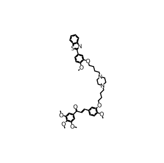 COc1ccc(/C=C/C(=O)c2cc(OC)c(OC)c(OC)c2)cc1OCCCCN1CCN(CCCCOc2cc(-c3nc4ccccc4s3)ccc2OC)CC1